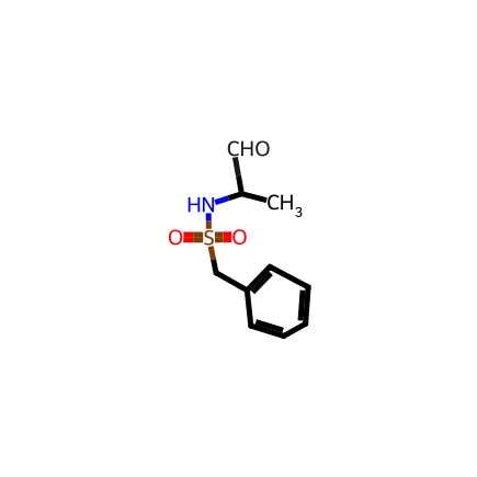 CC(C=O)NS(=O)(=O)Cc1ccccc1